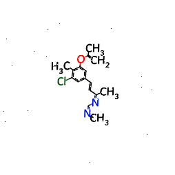 C=C(C)Oc1cc(/C=C/C(C)=N\C=N/C)cc(Cl)c1C